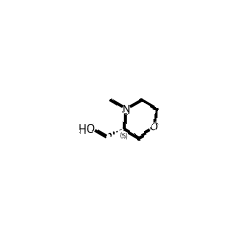 CN1CCOC[C@@H]1CO